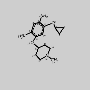 Cc1cc(N)c(OC2CC2)cc1OC1CCN(C)CC1